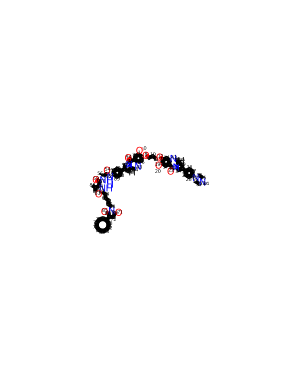 COc1cc2c(cc1OCCCOc1cc3c(cc1OC)C(=O)N1C=C(c4ccc(N5CCN(C)CC5)cc4)C[C@H]1C=N3)N=C[C@@H]1CC(c3ccc(NC(=O)[C@H](C)NC(=O)C(NC(=O)CCCCCN4C(=O)CC(c5ccccccccc5)C4=O)C(C)C)cc3)=CN1C2=O